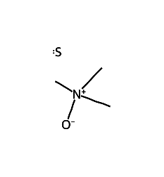 C[N+](C)(C)[O-].[S]